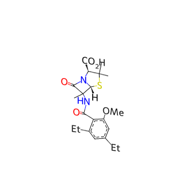 CCc1cc(CC)c(C(=O)NC2(C)C(=O)N3[C@@H](C(=O)O)C(C)(C)S[C@@H]32)c(OC)c1